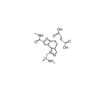 CNC(=O)c1cc2c(ccc3cnn(C[C@H](C)N)c32)o1.O=C(O)/C=C/C(=O)O